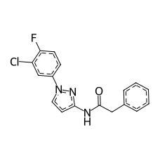 O=C(Cc1ccccc1)Nc1ccn(-c2ccc(F)c(Cl)c2)n1